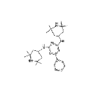 CC1(C)CC(Nc2nc(NC3CC(C)(C)NC(C)(C)C3)nc(-c3ccccc3)n2)CC(C)(C)N1